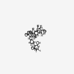 COc1cc(C)n(C)c(=O)c1-c1ccc(C[C@H](NC(=O)c2c(F)cc(N3CCOC[C@@H]3C(F)(F)F)cc2F)C(=O)O)cc1